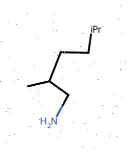 CC(C)CCC(C)CN